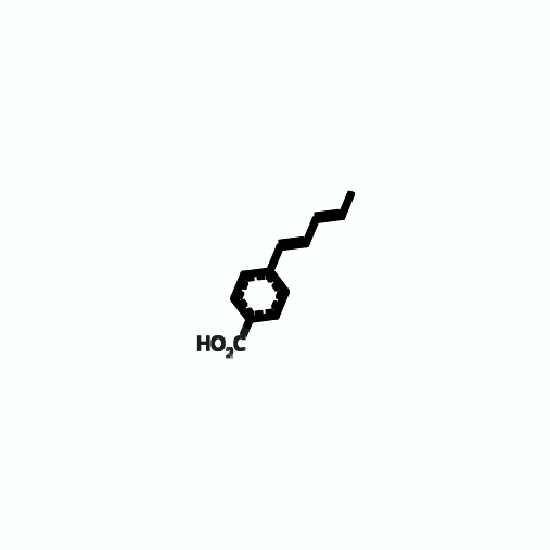 CC=CC=Cc1ccc(C(=O)O)cc1